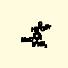 COc1cc(NC(=O)OC(C)C)cnc1C(N)=S